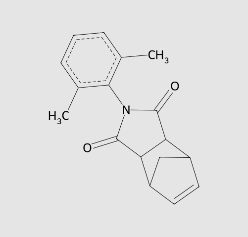 Cc1cccc(C)c1N1C(=O)C2C3C=CC(C3)C2C1=O